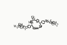 C[N+](C)(C)CCCOc1ccc(-c2c3nc(cc4ccc([nH]4)c(-c4ccc(OCCC[N+](C)(C)C)cc4)c4ccc(cc5nc2C=C5)[nH]4)C=C3)cc1.[Cl-].[Cl-]